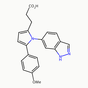 COc1ccc(-c2ccc(CCC(=O)O)n2-c2ccc3cn[nH]c3c2)cc1